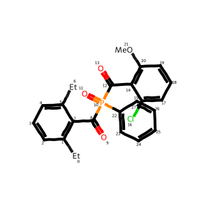 CCc1cccc(CC)c1C(=O)P(=O)(C(=O)c1c(Cl)cccc1OC)c1ccccc1